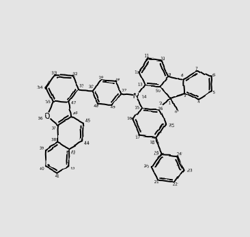 CC1(C)c2ccccc2-c2cccc(N(c3ccc(-c4ccccc4)cc3)c3ccc(-c4cccc5oc6c7ccccc7ccc6c45)cc3)c21